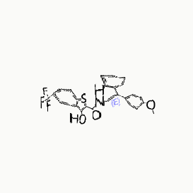 COc1ccc(/C(=C/NC(=O)c2sc3ccc(C(F)(F)F)cc3c2O)c2ccccc2)cc1